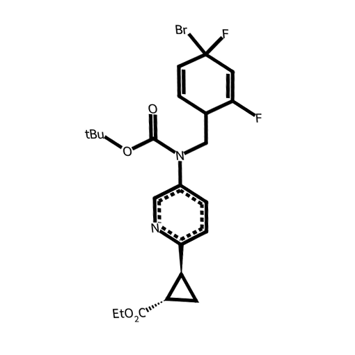 CCOC(=O)[C@H]1C[C@@H]1c1ccc(N(CC2C=CC(F)(Br)C=C2F)C(=O)OC(C)(C)C)cn1